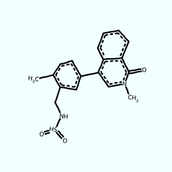 Cc1ccc(-c2cn(C)c(=O)c3ccccc23)cc1CN[SH](=O)=O